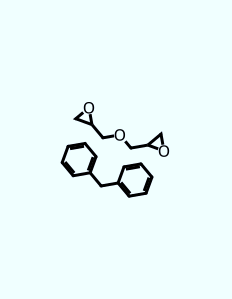 C(OCC1CO1)C1CO1.c1ccc(Cc2ccccc2)cc1